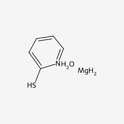 O.Sc1ccccn1.[MgH2]